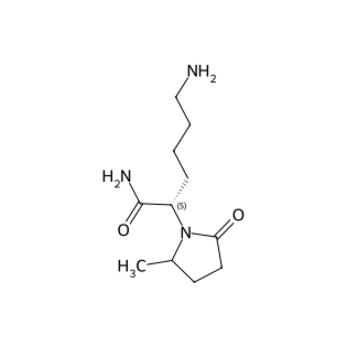 CC1CCC(=O)N1[C@@H](CCCCN)C(N)=O